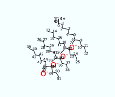 CCCCCCC(C[O-])CCCC.CCCCCCC(C[O-])CCCC.CCCCCCC(C[O-])CCCC.CCCCCCC(C[O-])CCCC.[Ti+4]